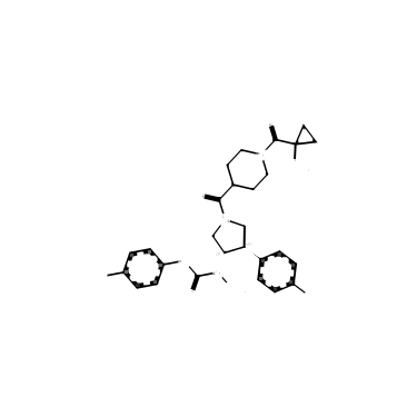 CN(C(=O)Oc1ccc(F)cc1)[C@@H]1CN(C(=O)C2CCN(C(=O)C3(C)CC3)CC2)C[C@H]1c1ccc(Cl)cc1